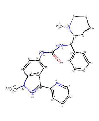 CN1CCCCC1C(NC(=O)Nc1ccc2c(c1)c(-c1ccccn1)nn2C(=O)O)c1ccccc1